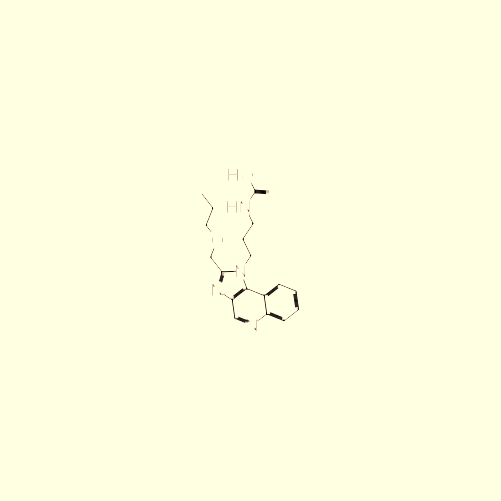 CCCOCc1nc2cnc3ccccc3c2n1CCCNC(=O)O